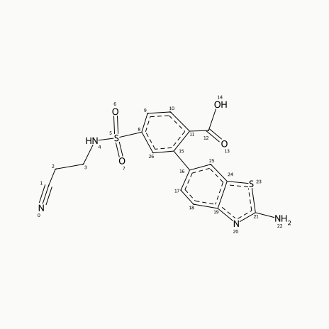 N#CCCNS(=O)(=O)c1ccc(C(=O)O)c(-c2ccc3nc(N)sc3c2)c1